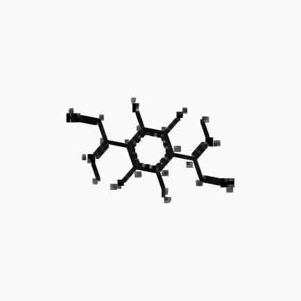 C/N=C(/C=N)c1c(F)c(F)c(/C(C=N)=N\C)c(F)c1F